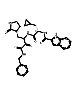 O=C(NCc1ccccc1)C(=O)C(C[C@@H]1CCNC1=O)NC(=O)[C@H](CC1CC1)NC(=O)c1cc2ccccc2[nH]1